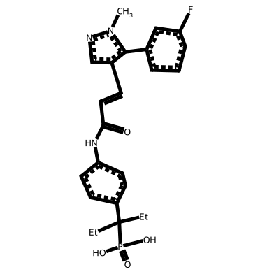 CCC(CC)(c1ccc(NC(=O)C=Cc2cnn(C)c2-c2cccc(F)c2)cc1)P(=O)(O)O